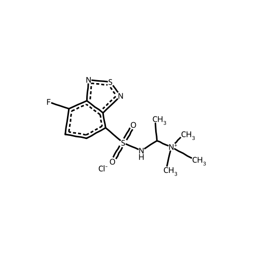 CC(NS(=O)(=O)c1ccc(F)c2nsnc12)[N+](C)(C)C.[Cl-]